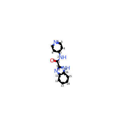 O=C(Nc1ccncc1)c1nc2ccccc2[nH]1